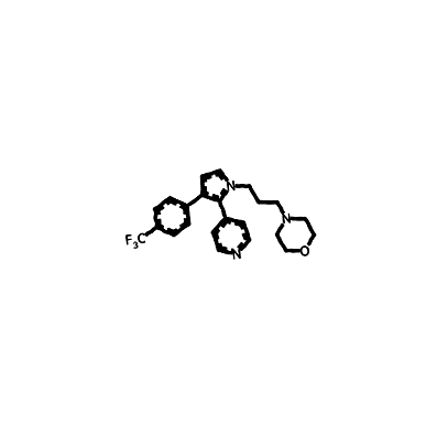 FC(F)(F)c1ccc(-c2ccn(CCCN3CCOCC3)c2-c2ccncc2)cc1